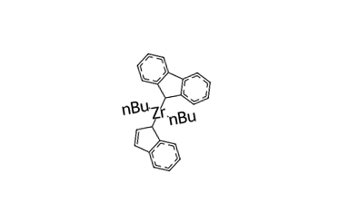 CCC[CH2][Zr]([CH2]CCC)([CH]1C=Cc2ccccc21)[CH]1c2ccccc2-c2ccccc21